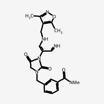 CNC(=O)c1cccc(CN2CC(=O)N(/C(C=N)=C/NCc3c(C)noc3C)C2=O)c1